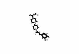 CCc1cc(C[CH]C(=O)N2CCC(N3CCN(C(N)=O)CC3)CC2)ccc1C